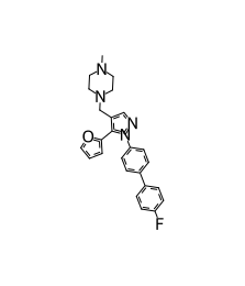 CN1CCN(Cc2cnn(-c3ccc(-c4ccc(F)cc4)cc3)c2-c2ccco2)CC1